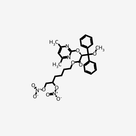 COC(c1ccccc1)(c1ccccc1)[C@H](Oc1nc(C)cc(C)n1)C(=O)OCCCCC(CO[N+](=O)[O-])O[N+](=O)[O-]